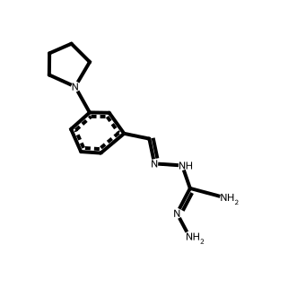 NN=C(N)NN=Cc1cccc(N2CCCC2)c1